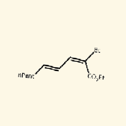 CCCCCC=CC=C(CC)C(=O)OCC